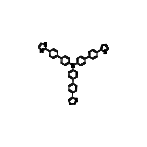 c1csc(-c2ccc(-c3ccc(N(c4ccc(-c5ccc(-c6cccs6)cc5)cc4)c4ccc(-c5ccc(-c6nccs6)cc5)cc4)cc3)cc2)c1